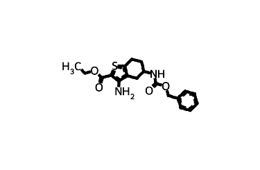 CCOC(=O)c1sc2c(c1N)CC(NC(=O)OCc1ccccc1)CC2